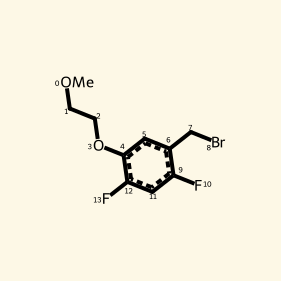 COCCOc1cc(CBr)c(F)cc1F